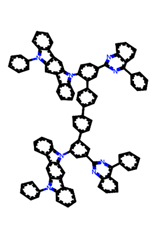 c1ccc(-c2nc(-c3cc(-c4ccc(-c5ccc(-c6cc(-c7nc(-c8ccccc8)c8ccccc8n7)ccc6-n6c7ccccc7c7cc8c(cc76)c6ccccc6n8-c6ccccc6)cc5)cc4)cc(-n4c5ccccc5c5cc6c(cc54)c4ccccc4n6-c4ccccc4)c3)nc3ccccc23)cc1